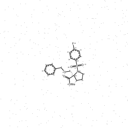 COC(=O)[C@]1(COCc2ccccc2)CCCN1S(=O)(=O)c1ccc(F)cc1